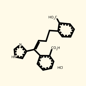 Cl.O=C(O)c1ccccc1CCC=C(c1c[nH]cn1)c1ccccc1C(=O)O